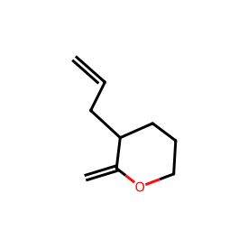 C=CCC1CCCOC1=C